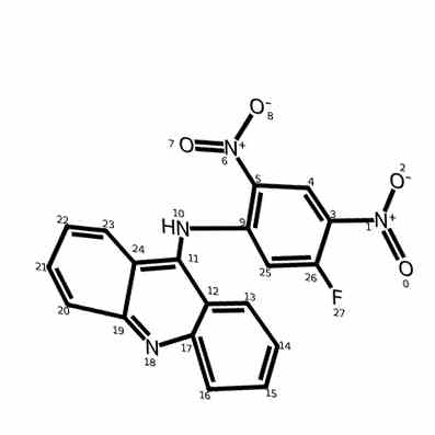 O=[N+]([O-])c1cc([N+](=O)[O-])c(Nc2c3ccccc3nc3ccccc23)cc1F